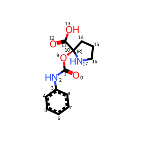 O=C(Nc1ccccc1)O[C@@]1(C(=O)O)CCCN1